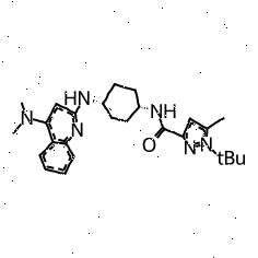 Cc1cc(C(=O)N[C@H]2CC[C@@H](Nc3cc(N(C)C)c4ccccc4n3)CC2)nn1C(C)(C)C